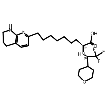 O=C(O)[C@H](CCCCCCCc1ccc2c(n1)NCCC2)N[C@H](C1CCOCC1)C(F)(F)F